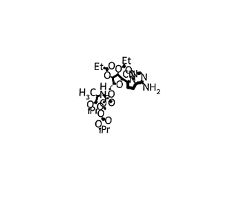 CCC(=O)O[C@H]1[C@@H](OC(=O)CC)[C@](C#N)(c2ccc3c(N)ncnn23)O[C@@H]1COP(=O)(N[C@@H](C)C(=O)OC(C)C)OCOC(=O)OC(C)C